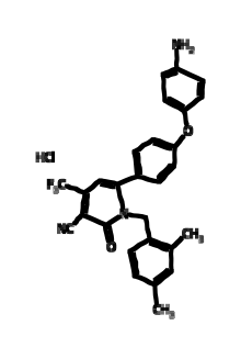 Cc1ccc(Cn2c(-c3ccc(Oc4ccc(N)cc4)cc3)cc(C(F)(F)F)c(C#N)c2=O)c(C)c1.Cl